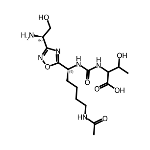 CC(=O)NCCCC[C@H](NC(=O)NC(C(=O)O)C(C)O)c1nc([C@@H](N)CO)no1